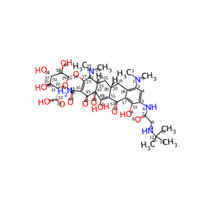 CN(C)c1cc(NC(=O)CNC(C)(C)C)c(O)c2c1C[C@H]1C[C@H]3[C@H](N(C)C)C(O[C@@H]4O[C@H](C(=O)O)[C@@H](O)[C@H](O)[C@H]4O)=C(C(N)=O)C(=O)[C@@]3(O)C(O)=C1C2=O